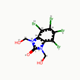 O=c1n(CO)c2c(Br)c(Br)c(Br)c(Br)c2n1CO